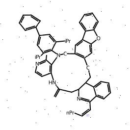 C=C1CC2N=C(/C=C\CCC)c3ccccc3C2CCc2cc3oc4ccccc4c3cc2CN(c2c(C(C)C)cc(-c3ccccc3)cc2C(C)C)c2c(ccnc2C)N1